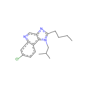 CCCCc1nc2cnc3cc(Cl)ccc3c2n1CC(C)C